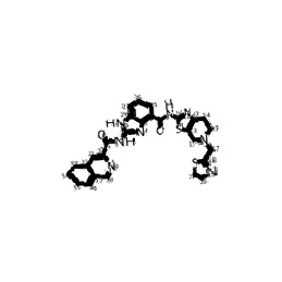 O=C(Nc1nc2c(C(=O)Nc3nc4c(s3)CN(Cc3nccs3)CC4)cccc2[nH]1)c1cc2ccccc2cn1